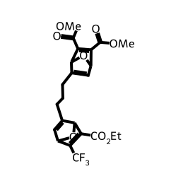 CCOC(=O)C1=C(C(F)(F)F)C2C=C(CCCC3=CC4OC3C(C(=O)OC)=C4C(=O)OC)C1O2